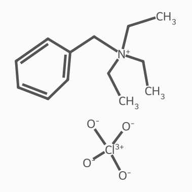 CC[N+](CC)(CC)Cc1ccccc1.[O-][Cl+3]([O-])([O-])[O-]